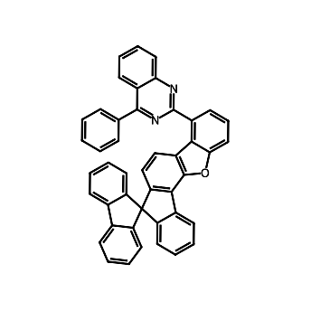 c1ccc(-c2nc(-c3cccc4oc5c6c(ccc5c34)C3(c4ccccc4-c4ccccc43)c3ccccc3-6)nc3ccccc23)cc1